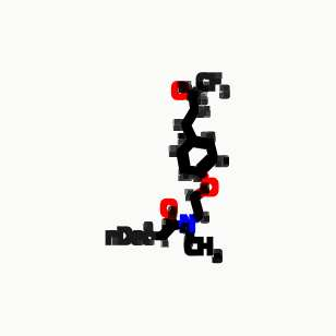 CCCCCCCCCCCC(=O)N(C)CCOc1ccc(CCC(=O)C(F)(F)F)cc1